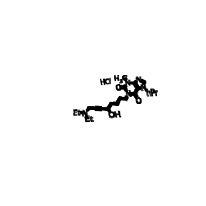 CCCn1cnc2c1c(=O)n(CCCCC(O)C#CCN(CC)CC)c(=O)n2C.Cl